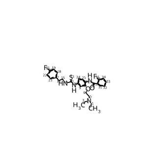 CCN(CC)CCOc1cc(NC(=S)NCCc2ccc(F)cc2)ccc1NC(=O)c1ccccc1F